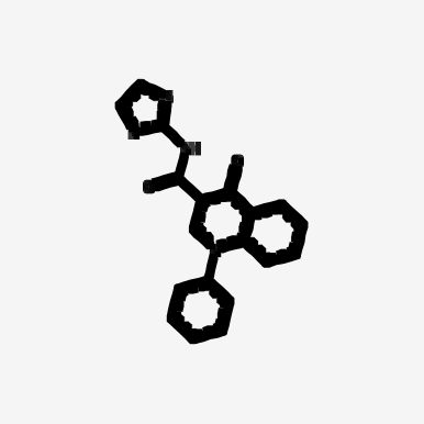 O=C(Nc1nccs1)c1cn(-c2ccccc2)c2ccccc2c1=O